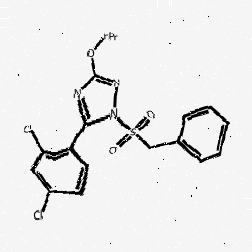 CCCOc1nc(-c2ccc(Cl)cc2Cl)n(S(=O)(=O)Cc2ccccc2)n1